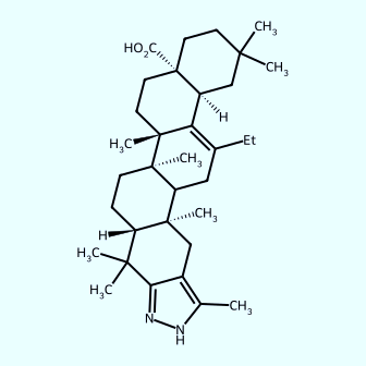 CCC1=C2[C@@H]3CC(C)(C)CC[C@]3(C(=O)O)CC[C@@]2(C)[C@]2(C)CC[C@H]3C(C)(C)c4n[nH]c(C)c4C[C@]3(C)C2C1